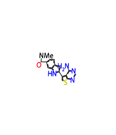 CNC(=O)c1ccc2cc(-c3csc4ncnc(N)c34)[nH]c2c1